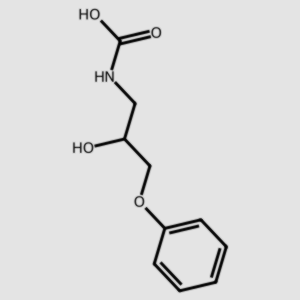 O=C(O)NCC(O)COc1ccccc1